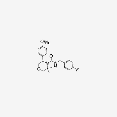 COc1ccc(C2COCC(C)(C)N2C(=O)NCc2ccc(F)cc2)cc1